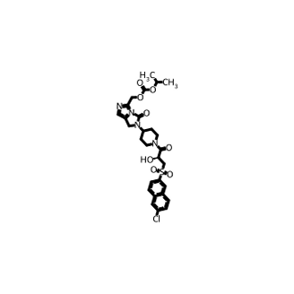 CC(C)OC(=O)OCc1ncc2n1C(=O)N(C1CCN(C(=O)[C@H](O)CS(=O)(=O)c3ccc4cc(Cl)ccc4c3)CC1)C2